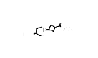 COC(=O)C1CC(N2CCC(C)CC2)C1